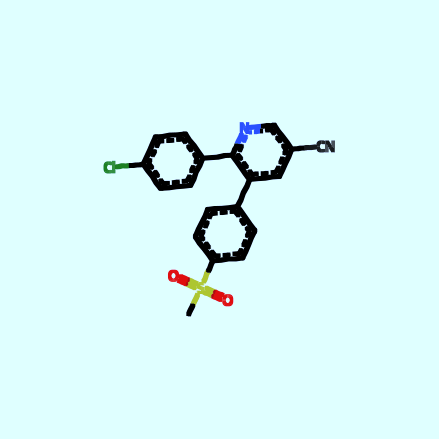 CS(=O)(=O)c1ccc(-c2cc(C#N)cnc2-c2ccc(Cl)cc2)cc1